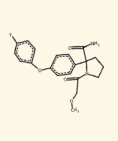 COCC(=O)N1CCCC1(C(N)=O)c1ccc(Oc2ccc(F)cc2)cc1